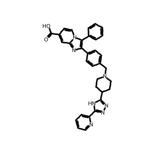 O=C(O)c1ccn2c(-c3ccccc3)c(-c3ccc(CN4CCC(c5nnc(-c6ccccn6)[nH]5)CC4)cc3)nc2c1